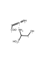 N=[N+]=CC(=O)[O-].NC(CO)C(=O)O